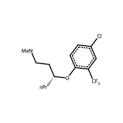 CCC[C@H](CCNC)Oc1ccc(Cl)cc1C(F)(F)F